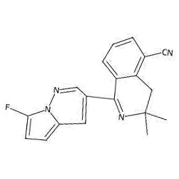 CC1(C)Cc2c(C#N)cccc2C(c2cnn3c(F)ccc3c2)=N1